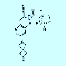 N#C[C@H](Cc1ccc(N2CC3(CNC3)C2)cc1F)NC(=O)[C@H]1N[C@@H]2CC[C@H]1C2